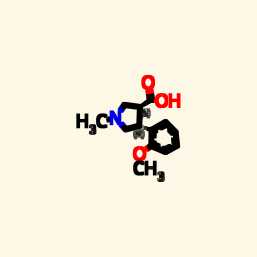 COc1ccccc1[C@@H]1CN(C)C[C@H]1C(=O)O